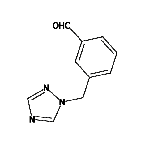 O=Cc1cccc(Cn2cncn2)c1